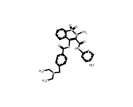 CCN(CC)Cc1ccc(C(=O)OC2=C(C(=O)Nc3ccccn3)N(C)S(=O)(=O)c3ccccc32)cc1.Cl